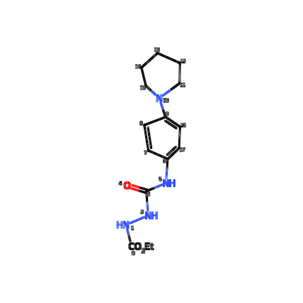 CCOC(=O)NNC(=O)Nc1ccc(N2CCCCC2)cc1